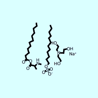 CCCCCCCCCCCC(=O)OC(=O)C(C)NC.CCCCCCCCCCCCOS(=O)(=O)[O-].OCCN(CCO)CCO.[Na+]